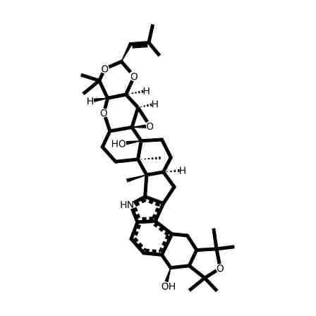 CC(C)=C[C@H]1O[C@H]2[C@H]3O[C@@]34C(CC[C@@]3(C)[C@@]4(O)CC[C@H]4Cc5c([nH]c6ccc7c(c56)CC5C([C@H]7O)C(C)(C)OC5(C)C)[C@@]43C)O[C@@H]2C(C)(C)O1